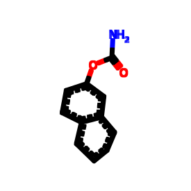 NC(=O)Oc1ccc2ccccc2c1